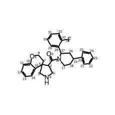 O=C(C1CNCC12CCOc1ccccc12)N1CCC(c2ccccc2)CC1c1ccccc1F